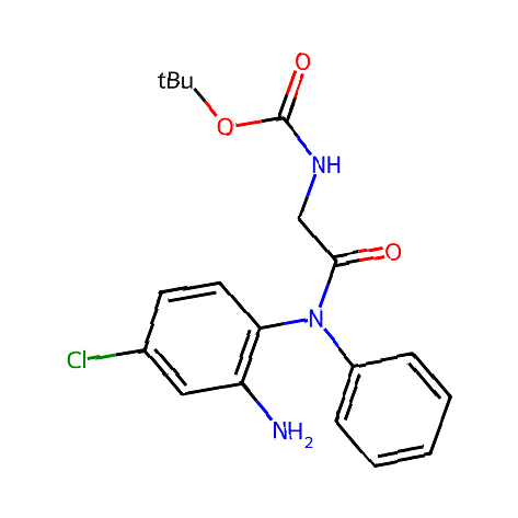 CC(C)(C)OC(=O)NCC(=O)N(c1ccccc1)c1ccc(Cl)cc1N